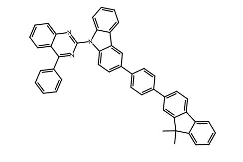 CC1(C)c2ccccc2-c2ccc(-c3ccc(-c4ccc5c(c4)c4ccccc4n5-c4nc(-c5ccccc5)c5ccccc5n4)cc3)cc21